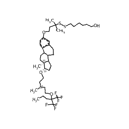 CCCC(OCCN(C)CCO[C@H]1CCC2C3CCc4cc(OCCC(C)(C)SSCCCCCCO)ccc4C3CC[C@@]21C)(C(F)(F)F)C(F)(F)F